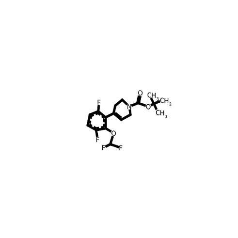 CC(C)(C)OC(=O)N1CC=C(c2c(F)ccc(F)c2OC(F)F)CC1